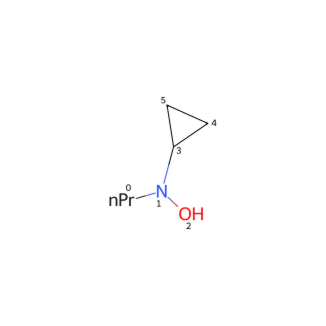 CCCN(O)C1CC1